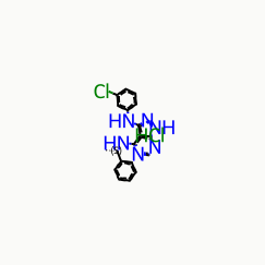 C[C@H](Nc1ncnc2[nH]nc(Nc3cccc(Cl)c3)c12)c1ccccc1.Cl